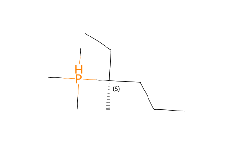 CCC[C@](C)(CC)[PH](C)(C)C